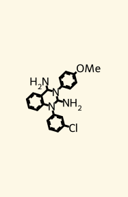 COc1ccc(N2C(N)c3ccccc3N(c3cccc(Cl)c3)C2N)cc1